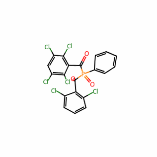 O=C(c1c(Cl)cccc1Cl)P(=O)(C(=O)c1c(Cl)c(Cl)cc(Cl)c1Cl)c1ccccc1